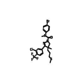 CSCCCC1(C)CN(C(=O)N(C)c2ccc(Br)cc2)N=C1c1ccc(C(F)(F)F)c(Cl)c1